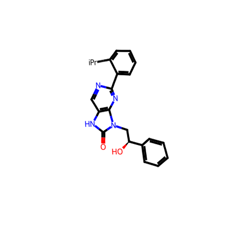 CC(C)c1ccccc1-c1ncc2[nH]c(=O)n(C[C@H](O)c3ccccc3)c2n1